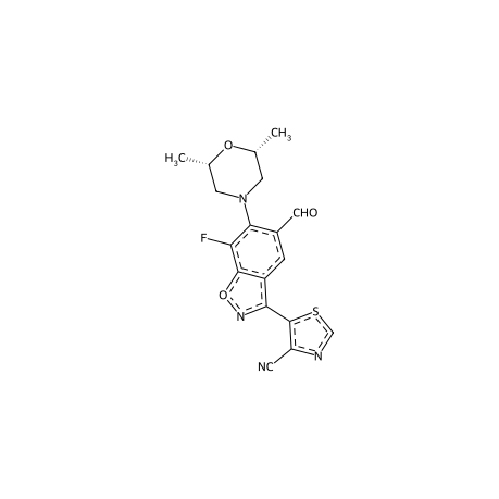 C[C@@H]1CN(c2c(C=O)cc3c(-c4scnc4C#N)noc3c2F)C[C@H](C)O1